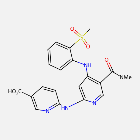 CNC(=O)c1cnc(Nc2ccc(C(=O)O)cn2)cc1Nc1ccccc1S(C)(=O)=O